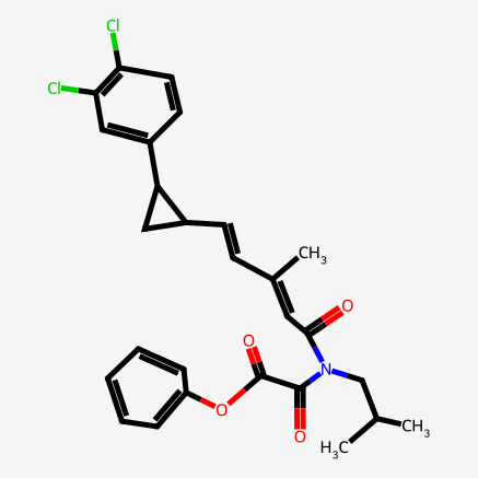 CC(/C=C/C1CC1c1ccc(Cl)c(Cl)c1)=C\C(=O)N(CC(C)C)C(=O)C(=O)Oc1ccccc1